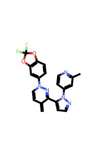 C=C1C=CN(c2ccc3c(c2)OC(F)(F)O3)N=C1c1ccnn1-c1ccnc(C)c1